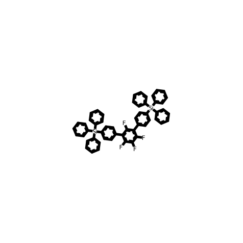 Fc1c(F)c(-c2ccc([Si](c3ccccc3)(c3ccccc3)c3ccccc3)cc2)c(F)c(-c2ccc([Si](c3ccccc3)(c3ccccc3)c3ccccc3)cc2)c1F